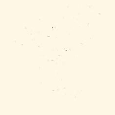 CC(C)(C)c1ccc2c(c1)C1(c3cc(C(C)(C)C)ccc3S2)c2ccccc2-c2ccc(N(c3ccc4c(c3)C(C)(C)c3ccccc3-4)c3ccc4c(c3)C(C)(C)c3ccccc3-4)cc21